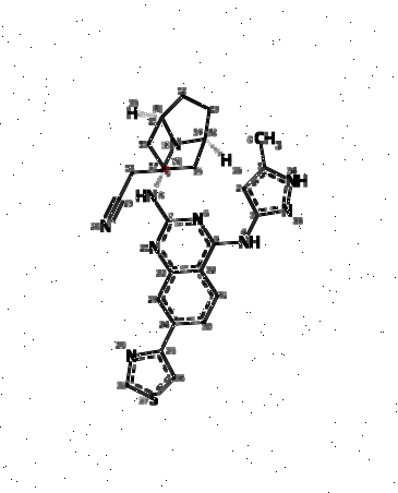 Cc1cc(Nc2nc(N[C@@H]3C[C@H]4CC[C@@H](C3)N4CCC#N)nc3cc(-c4cscn4)ccc23)n[nH]1